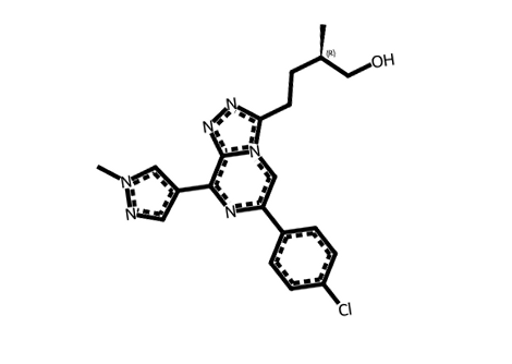 C[C@@H](CO)CCc1nnc2c(-c3cnn(C)c3)nc(-c3ccc(Cl)cc3)cn12